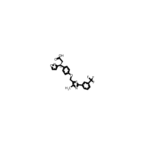 Cc1nc(-c2cccc(C(F)(F)F)c2)sc1COc1ccc([C@H](CC(=O)O)c2ccon2)cc1